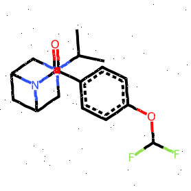 CC(C)N1CC2CC(C1)N2C(=O)c1ccc(OC(F)F)cc1